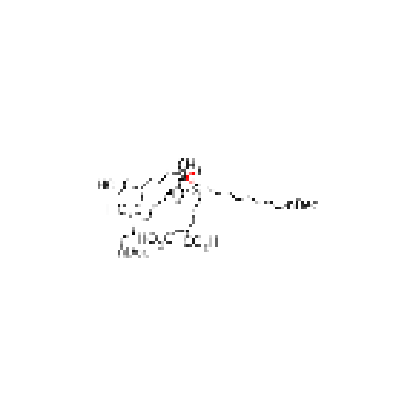 CCCCCCCCCCCCCCCCCC[Si](C)(CCCC(CC(=O)O)C(=O)O)O[Si](C)(CCCCCCCCCCCCCCCCCC)CCCC(CC(=O)O)C(=O)O